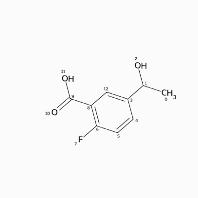 CC(O)c1ccc(F)c(C(=O)O)c1